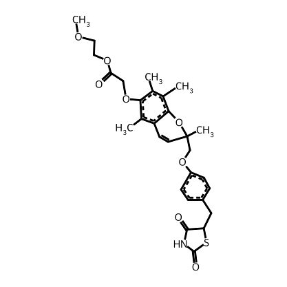 COCCOC(=O)COc1c(C)c(C)c2c(c1C)C=CC(C)(COc1ccc(CC3SC(=O)NC3=O)cc1)O2